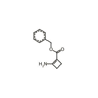 NC1=C(C(=O)OCc2ccccc2)CC1